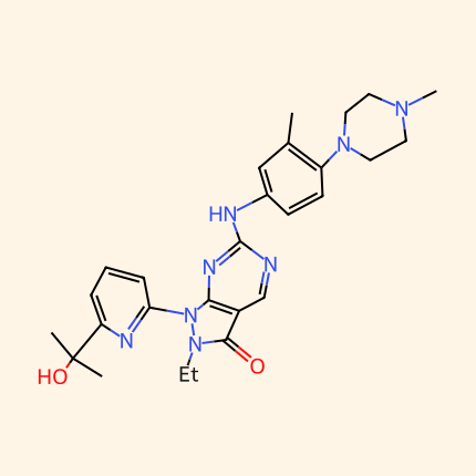 CCn1c(=O)c2cnc(Nc3ccc(N4CCN(C)CC4)c(C)c3)nc2n1-c1cccc(C(C)(C)O)n1